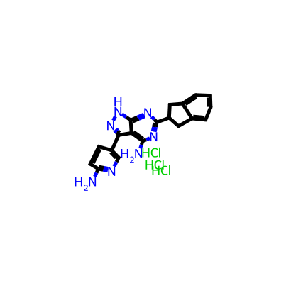 Cl.Cl.Cl.Nc1ccc(-c2n[nH]c3nc(C4Cc5ccccc5C4)nc(N)c23)cn1